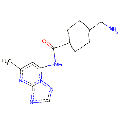 Cc1cc(NC(=O)C2CCC(CN)CC2)n2ncnc2n1